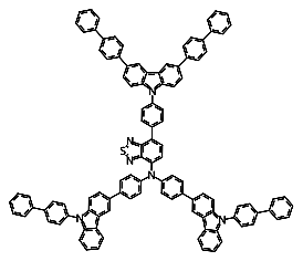 c1ccc(-c2ccc(-c3ccc4c(c3)c3cc(-c5ccc(-c6ccccc6)cc5)ccc3n4-c3ccc(-c4ccc(N(c5ccc(-c6ccc7c(c6)c6ccccc6n7-c6ccc(-c7ccccc7)cc6)cc5)c5ccc(-c6ccc7c(c6)c6ccccc6n7-c6ccc(-c7ccccc7)cc6)cc5)c5nsnc45)cc3)cc2)cc1